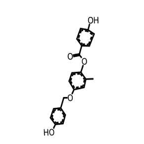 Cc1cc(OCc2ccc(O)cc2)ccc1OC(=O)c1ccc(O)cc1